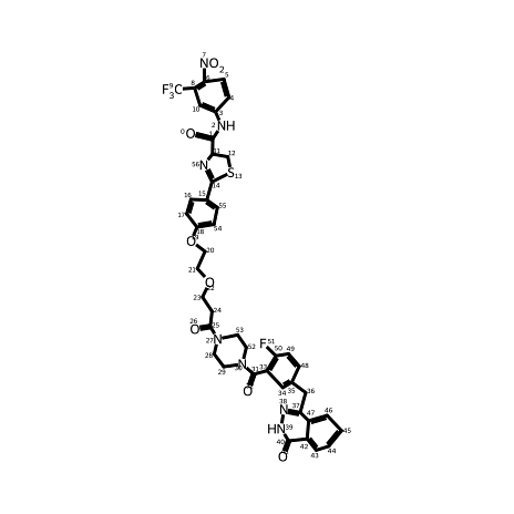 O=C(Nc1ccc([N+](=O)[O-])c(C(F)(F)F)c1)C1CSC(c2ccc(OCCOCCC(=O)N3CCN(C(=O)c4cc(Cc5n[nH]c(=O)c6ccccc56)ccc4F)CC3)cc2)=N1